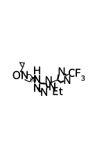 CCn1c(-c2cnc(C(F)(F)F)nc2)nc2c(N[C@H]3CCN(C(=O)C4CC4)C3)ncnc21